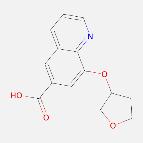 O=C(O)c1cc(OC2CCOC2)c2ncccc2c1